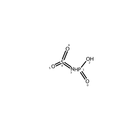 O=[PH](O)N=S(=O)=O